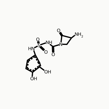 NC1CN(C(=O)NS(=O)(=O)Nc2ccc(O)c(O)c2)C1=O